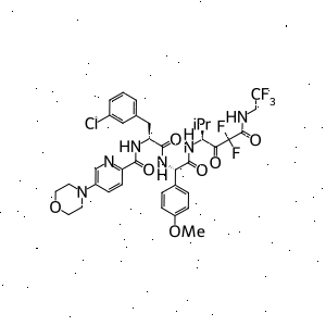 COc1ccc([C@H](NC(=O)[C@H](Cc2cccc(Cl)c2)NC(=O)c2ccc(N3CCOCC3)cn2)C(=O)N[C@H](C(=O)C(F)(F)C(=O)NCC(F)(F)F)C(C)C)cc1